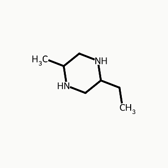 CCC1CNC(C)CN1